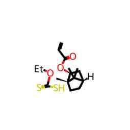 C=CC(=O)O[C@H]1C[C@@H]2CC[C@@]1(C)C2(C)C.CCOC(=S)S